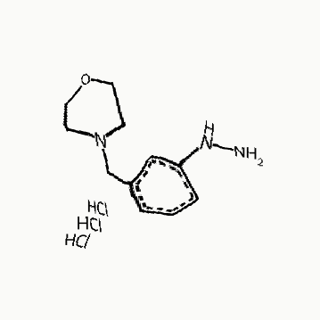 Cl.Cl.Cl.NNc1cccc(CN2CCOCC2)c1